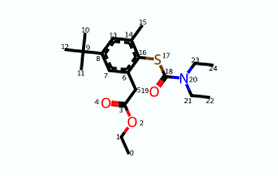 CCOC(=O)Cc1cc(C(C)(C)C)cc(C)c1SC(=O)N(CC)CC